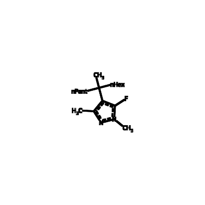 CCCCCCC(C)(CCCCC)c1c(C)nn(C)c1F